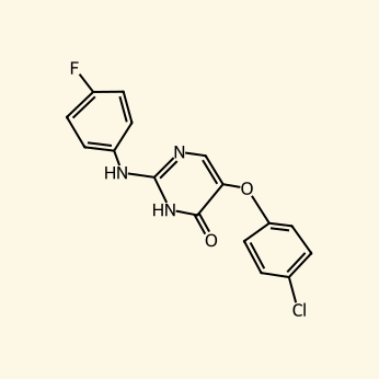 O=c1[nH]c(Nc2ccc(F)cc2)ncc1Oc1ccc(Cl)cc1